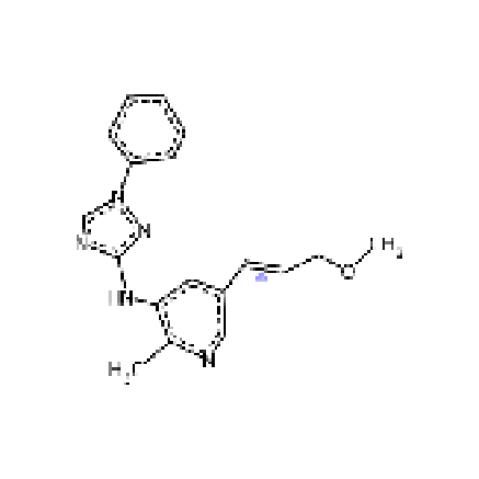 COC/C=C/c1cnc(C)c(Nc2ncn(-c3ccccc3)n2)c1